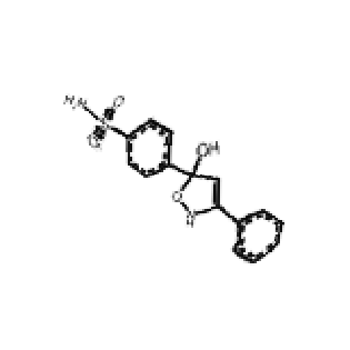 NS(=O)(=O)c1ccc(C2(O)C=C(c3ccccc3)NO2)cc1